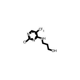 OCCCNc1nc(Cl)ncc1C(F)(F)F